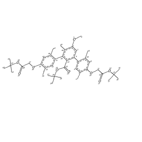 COc1cc(-c2cc(C)c(OCC(=O)OC(C)(C)C)cc2C)c(C(=O)OC(C)(C)C)c(-c2cc(C)c(OCC(=O)OC(C)(C)C)cc2C)c1C